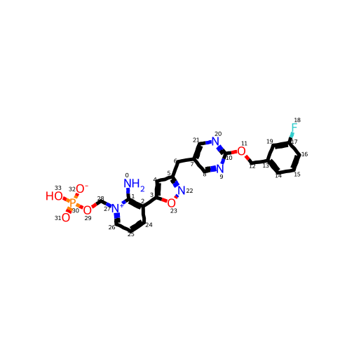 Nc1c(-c2cc(Cc3cnc(OCc4cccc(F)c4)nc3)no2)ccc[n+]1COP(=O)([O-])O